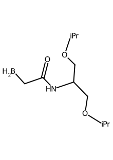 BCC(=O)NC(COC(C)C)COC(C)C